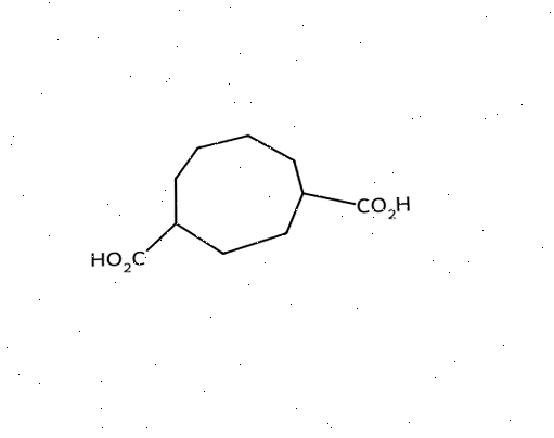 O=C(O)C1CCCCC(C(=O)O)CC1